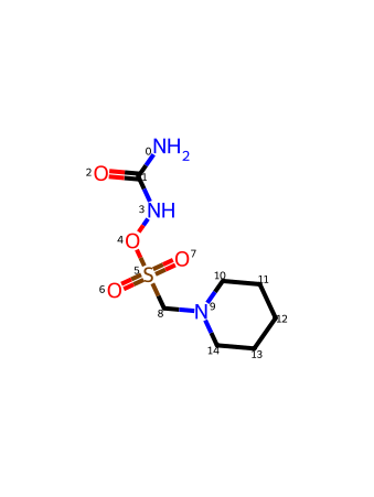 NC(=O)NOS(=O)(=O)CN1CCCCC1